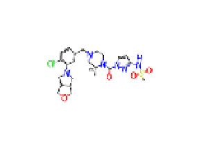 C[C@H]1CN(Cc2ccc(Cl)c(N3CC4COCC4C3)c2)CCN1C(=O)n1ccc(NS(C)(=O)=O)n1